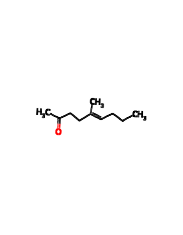 CCC/C=C(\C)CCC(C)=O